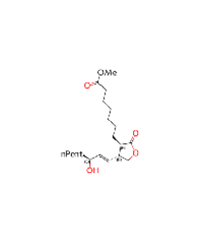 CCCCC[C@H](O)C=C[C@H]1COC(=O)[C@@H]1CCCCCCC(=O)OC